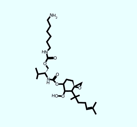 CC(C)=CCCC(C)(C)C1C(OO)C(OC(=O)N[C@@H](COC(=O)NCCCCCCN)C(C)C)CC[C@]12CO2